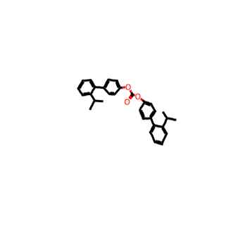 CC(C)c1ccccc1-c1ccc(OC(=O)Oc2ccc(-c3ccccc3C(C)C)cc2)cc1